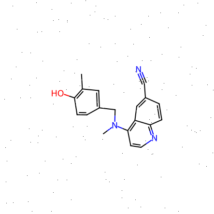 Cc1cc(CN(C)c2ccnc3ccc(C#N)cc23)ccc1O